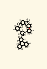 CC1(C)c2ccccc2-c2c1ccc1c2Oc2c(cccc2-c2cc(-c3ccc4c5ccccc5c5ccccc5c4c3)nc(-c3ccccc3)n2)O1